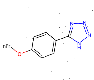 CCCOc1ccc(-c2nnn[nH]2)cc1